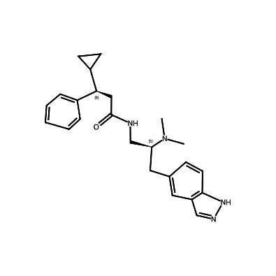 CN(C)[C@H](CNC(=O)C[C@@H](c1ccccc1)C1CC1)Cc1ccc2[nH]ncc2c1